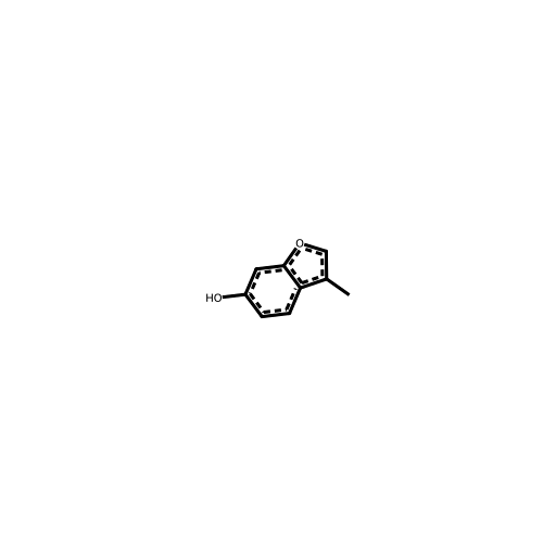 Cc1coc2cc(O)ccc12